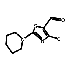 O=Cc1sc(N2CCCCC2)nc1Cl